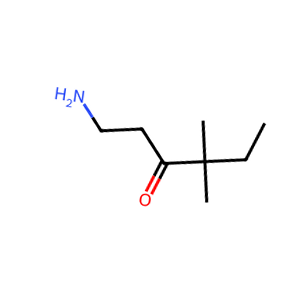 CCC(C)(C)C(=O)CCN